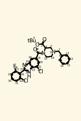 CC(C)(C)OC(=O)C1CN(Cc2ccccc2)CCN1C(=O)c1cc(Cl)c2[nH]c(-c3c(F)cccc3Cl)nc2c1